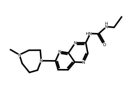 CCNC(=O)Nc1cnc2ccc(N3CCCN(C)CC3)nc2n1